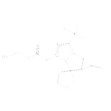 CCOC(=O)Cn1nc(C(F)(F)F)c2c1C1(SCCS1)C1C(C)C21